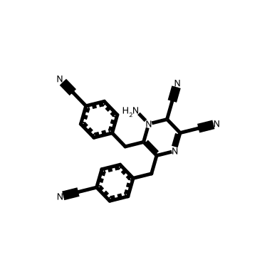 N#CC1=NC(Cc2ccc(C#N)cc2)=C(Cc2ccc(C#N)cc2)N(N)C1C#N